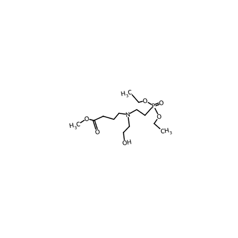 CCOP(=O)(CCN(CCO)CCCC(=O)OC)OCC